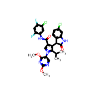 COc1ncc(-n2cc(C(=O)Nc3cc(Cl)c(F)cc3F)c(C3C(=O)Nc4cc(Cl)ccc43)c2C(C)C)c(OC)n1